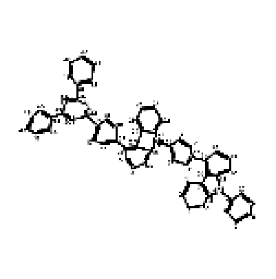 C1=Cc2c(n(-c3ccccc3)c3cccc(-c4ccc(-n5c6ccccc6c6c(-c7ccc(-c8nc(-c9ccccc9)nc(-c9ccccc9)n8)cc7)cccc65)cc4)c23)CC1